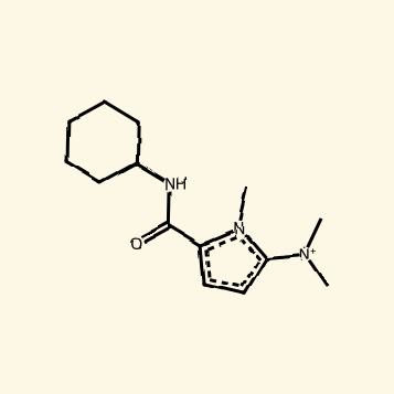 Cn1c(C(=O)NC2CCCCC2)ccc1[N+](C)C